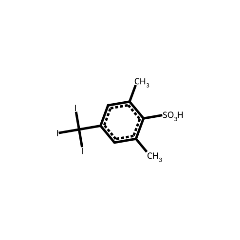 Cc1cc(C(I)(I)I)cc(C)c1S(=O)(=O)O